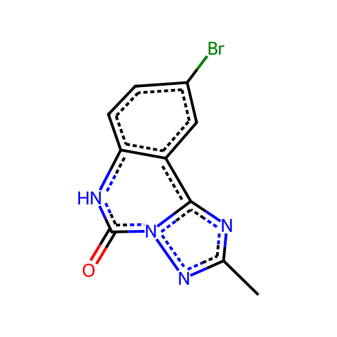 Cc1nc2c3cc(Br)ccc3[nH]c(=O)n2n1